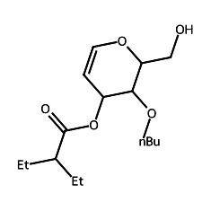 CCCCOC1C(OC(=O)C(CC)CC)C=COC1CO